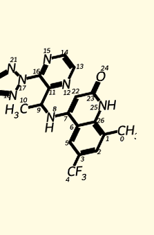 Cc1cc(C(F)(F)F)cc2c(NC(C)c3nccnc3-n3nccn3)cc(=O)[nH]c12